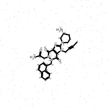 CC#CCn1c(N2CCC[C@@H](N)C2)nc2c(=O)n(CC(N)=O)n(Cc3cccc4ccccc34)c(=O)c21